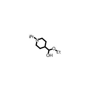 CCOC(O)C1CCN(C(C)C)CC1